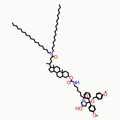 CCCCCCCCCCCCCCCCCCN(CCCCCCCCCCCCCCCCCC)C(=O)CCC(C)C1CCC2C3CCC4CC(OC(=O)NCCCCCC(=O)N5CC(O)CC5C(OCc5ccc(OC)cc5)(c5ccccc5)c5ccc(OC)cc5)CCC4(C)C3CCC12C